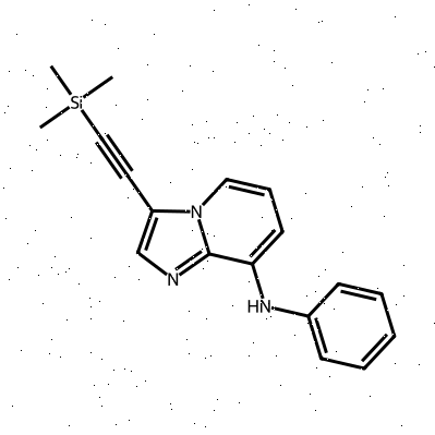 C[Si](C)(C)C#Cc1cnc2c(Nc3ccccc3)cccn12